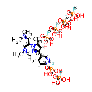 CN(C)/C=C(/CN(C)C)n1nc(-c2cccnc2)cc1C(F)(F)F.O=P(O)(O)F.O=P(O)(O)F.O=P(O)(O)F.O=P(O)(O)F.O=P(O)(O)F.O=P(O)(O)F